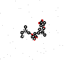 CC1(C)c2ccccc2C2(c3ccccc3-c3c(-c4ccc(-c5nc(-c6ccccc6)nc(-c6cccc(-c7cccc8c7C(C)(C)c7ccccc7C87c8ccccc8-c8ccccc87)c6)n5)c(-c5ccccc5)c4)cccc32)c2ccc(-c3ccc(-c4nc(-c5ccccc5)nc(-c5cccc(-c6ccccn6)c5)n4)cc3)cc21